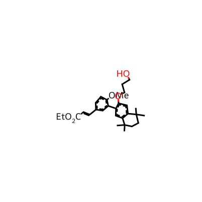 CCOC(=O)C=Cc1ccc(OC)c(-c2cc3c(cc2OCCCO)C(C)(C)CCC3(C)C)c1